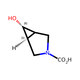 O=C(O)N1CC2[C@@H](O)[C@@H]2C1